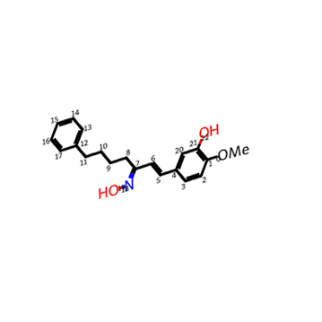 COc1ccc(/C=C/C(CCCCc2ccccc2)=NO)cc1O